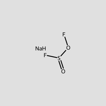 O=S(F)OF.[NaH]